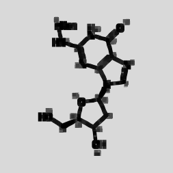 CCCCCCCCCNc1nc2c(ncn2[C@H]2CC(O)[C@@H](CO)O2)c(=O)[nH]1